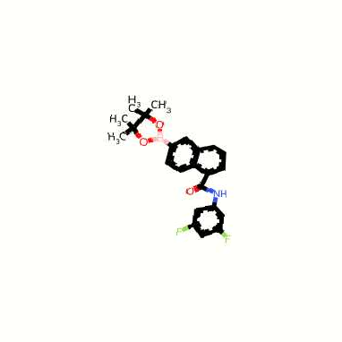 CC1(C)OB(c2ccc3c(C(=O)Nc4cc(F)cc(F)c4)cccc3c2)OC1(C)C